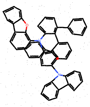 c1ccc(-c2ccccc2-c2c(-c3ccccc3)cccc2N(c2ccc(-n3c4ccccc4c4ccccc43)cc2)c2cccc3c2oc2ccccc23)cc1